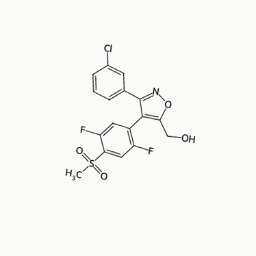 CS(=O)(=O)c1cc(F)c(-c2c(-c3cccc(Cl)c3)noc2CO)cc1F